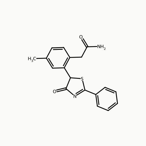 Cc1ccc(CC(N)=O)c(C2SC(c3ccccc3)=NC2=O)c1